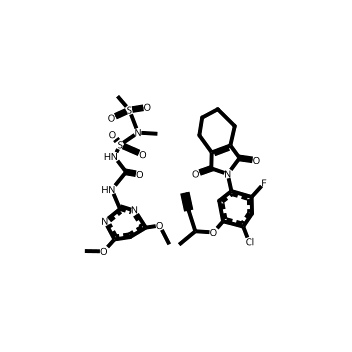 C#CC(C)Oc1cc(N2C(=O)C3=C(CCCC3)C2=O)c(F)cc1Cl.COc1cc(OC)nc(NC(=O)NS(=O)(=O)N(C)S(C)(=O)=O)n1